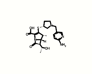 C[C@@H](O)[C@H]1C(=O)N2C(C(=O)O)=C(S[C@@H]3CCN(Cc4ccc(N)nc4)C3)[C@H](C)[C@H]12